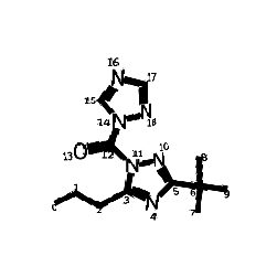 CCCc1nc(C(C)(C)C)nn1C(=O)n1cncn1